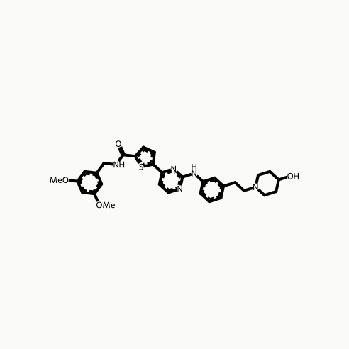 COc1cc(CNC(=O)c2ccc(-c3ccnc(Nc4cccc(CCN5CCC(O)CC5)c4)n3)s2)cc(OC)c1